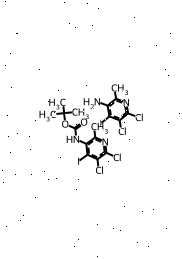 Cc1nc(Cl)c(Cl)c(I)c1N.Cc1nc(Cl)c(Cl)c(I)c1NC(=O)OC(C)(C)C